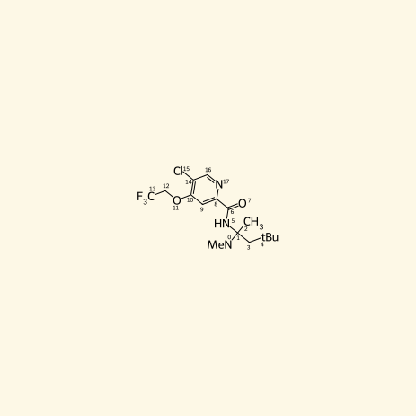 CNC(C)(CC(C)(C)C)NC(=O)c1cc(OCC(F)(F)F)c(Cl)cn1